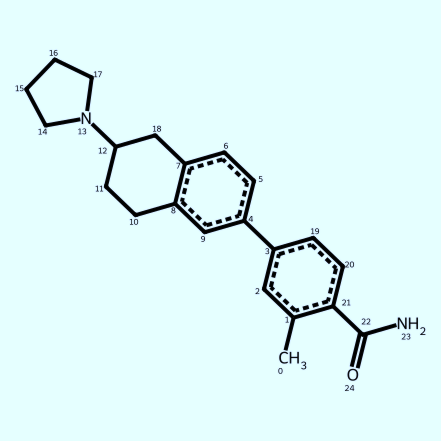 Cc1cc(-c2ccc3c(c2)CCC(N2CCCC2)C3)ccc1C(N)=O